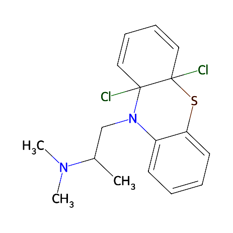 CC(CN1c2ccccc2SC2(Cl)C=CC=CC12Cl)N(C)C